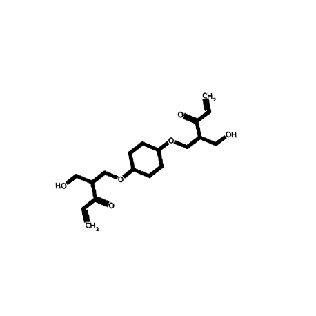 C=CC(=O)C(CO)COC1CCC(OCC(CO)C(=O)C=C)CC1